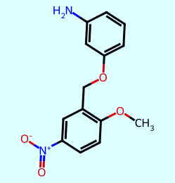 COc1ccc([N+](=O)[O-])cc1COc1cccc(N)c1